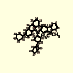 CC1(C)c2ccccc2-c2cc(-c3ccccc3)c(N(c3ccc(C4CC5CCC4C5)cc3)c3cccc4cc(C5CCCCC5)ccc34)cc21